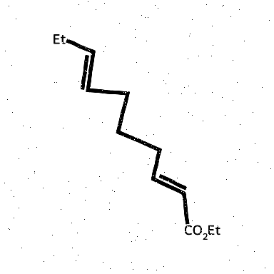 CCC=CCCCC=CC(=O)OCC